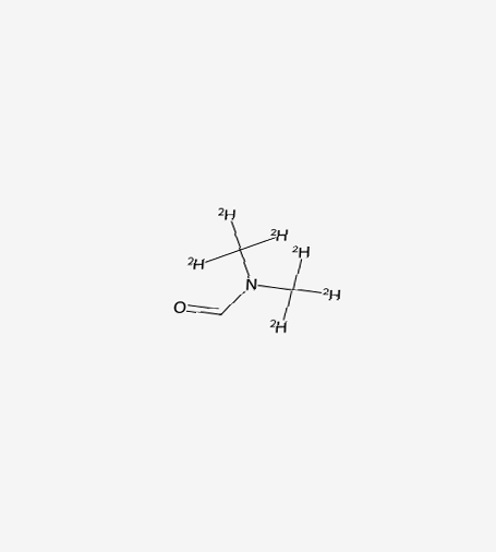 [2H]C([2H])([2H])N(C=O)C([2H])([2H])[2H]